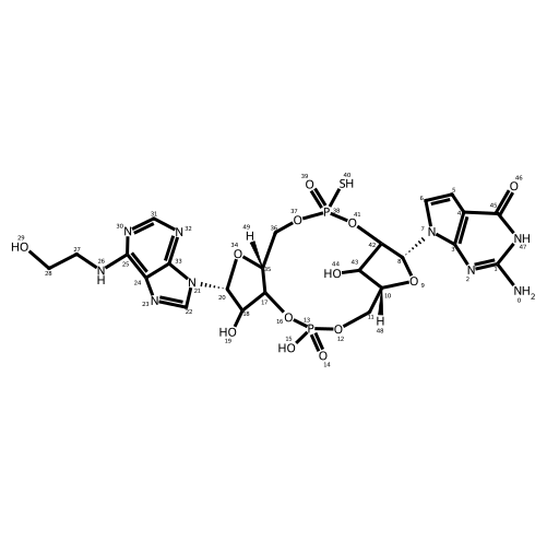 Nc1nc2c(ccn2[C@@H]2O[C@@H]3COP(=O)(O)OC4C(O)[C@H](n5cnc6c(NCCO)ncnc65)O[C@@H]4COP(=O)(S)OC2C3O)c(=O)[nH]1